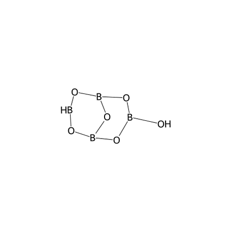 OB1OB2OBOB(O1)O2